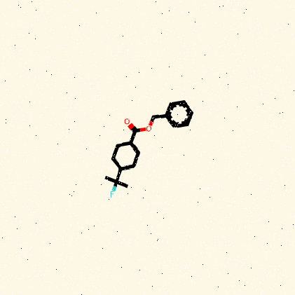 CC(C)(F)C1CCC(C(=O)OCc2ccccc2)CC1